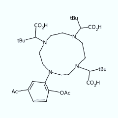 CC(=O)Oc1ccc(C(C)=O)cc1N1CCN(C(C(=O)O)C(C)(C)C)CCN(C(C(=O)O)C(C)(C)C)CCN(C(C(=O)O)C(C)(C)C)CC1